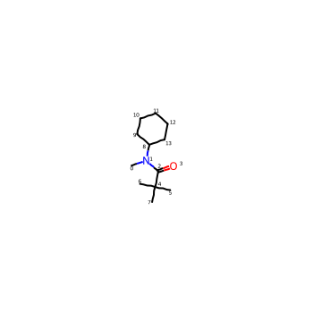 CN(C(=O)C(C)(C)C)C1CCCCC1